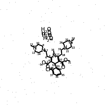 COC(=O)C1=C(CCN2CCN(C)CC2)N(C)C(CCN2CCN(C)CC2)=C(C(=O)OC)C1c1ccccc1Cl.O.O.O.O